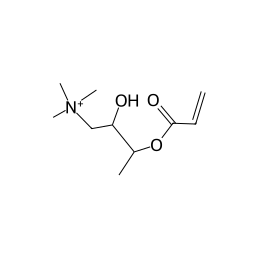 C=CC(=O)OC(C)C(O)C[N+](C)(C)C